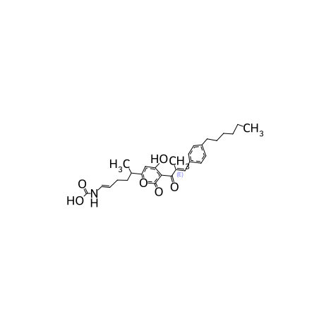 CCCCCCc1ccc(/C=C(\C)C(=O)c2c(O)cc(C(C)CCC=CNC(=O)O)oc2=O)cc1